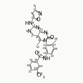 Cc1cc(Nc2ncc3c(C)n(-c4cc(NC(=O)c5cccc(C(F)(F)F)c5)ccc4C)c(=O)nc3n2)on1